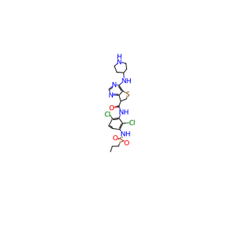 CCCS(=O)(=O)Nc1ccc(Cl)c(NC(=O)C2CSc3c(NC4CCNCC4)ncnc32)c1Cl